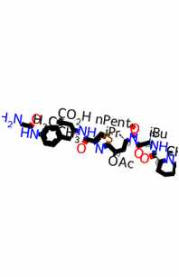 CCCCCON(C(=O)[C@@H](NC(=O)[C@H]1CCCCN1C)[C@@H](C)CC)[C@H](C[C@@H](OC(C)=O)c1nc(C(=O)N[C@@H](Cc2ccc(NC(=O)CN)cc2)CC(C)(C)C(=O)O)cs1)C(C)C